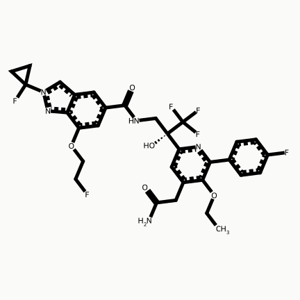 CCOc1c(CC(N)=O)cc([C@@](O)(CNC(=O)c2cc(OCCF)c3nn(C4(F)CC4)cc3c2)C(F)(F)F)nc1-c1ccc(F)cc1